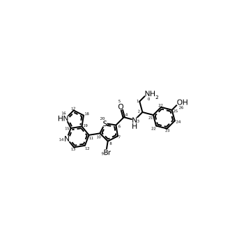 NCC(NC(=O)c1cc(Br)c(-c2ccnc3[nH]ccc23)s1)c1cccc(O)c1